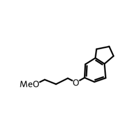 COCCCOc1ccc2c(c1)CCC2